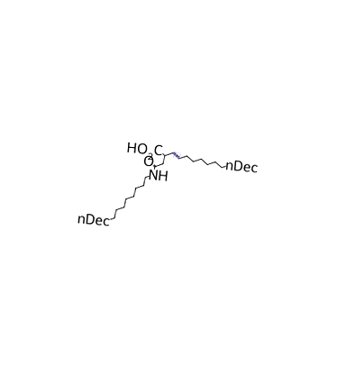 CCCCCCCCCCCCCCCC/C=C/C(CC(=O)NCCCCCCCCCCCCCCCCCC)C(=O)O